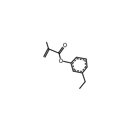 C=C(C)C(=O)Oc1cccc(CC)c1